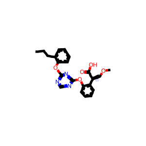 CCCc1ccccc1Oc1ncnc(Oc2ccccc2/C(=C/OC)C(=O)O)n1